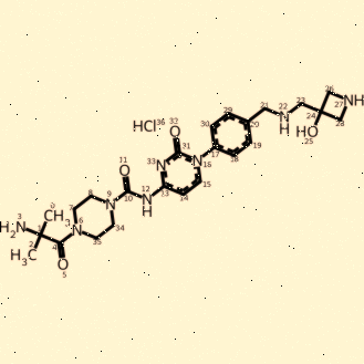 CC(C)(N)C(=O)N1CCN(C(=O)Nc2ccn(-c3ccc(CNCC4(O)CNC4)cc3)c(=O)n2)CC1.Cl